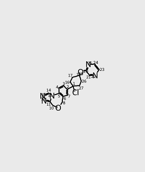 ClC1(c2ccc3c(c2)COCc2nncn2-3)CCC(Oc2cnccn2)CC1